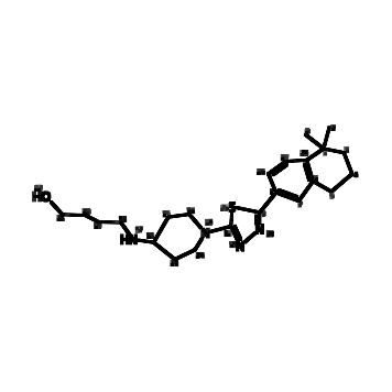 CC1(C)CCCc2cc(-c3nnc(N4CCC(NCCCCO)CC4)s3)ccc21